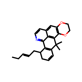 CCC=CCC1CC=CC2=C1c1nccc3cc4c(c(c13)C2(C)C)OCCO4